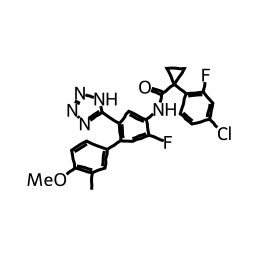 COc1ccc(-c2cc(F)c(NC(=O)C3(c4ccc(Cl)cc4F)CC3)cc2-c2nnn[nH]2)cc1C